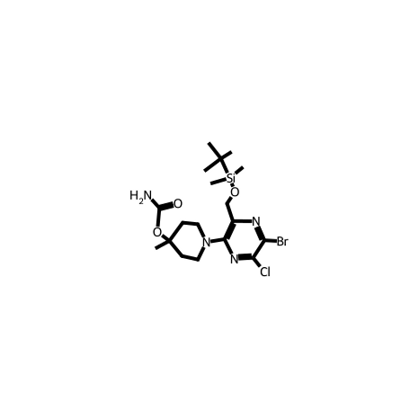 CC1(OC(N)=O)CCN(c2nc(Cl)c(Br)nc2CO[Si](C)(C)C(C)(C)C)CC1